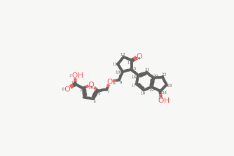 O=C(O)c1ccc(COCC2CCC(=O)C2c2ccc3c(c2)CCC3O)o1